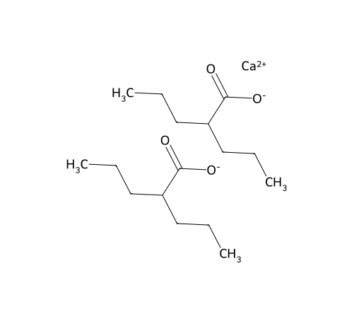 CCCC(CCC)C(=O)[O-].CCCC(CCC)C(=O)[O-].[Ca+2]